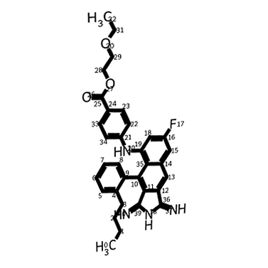 CCCCc1ccccc1-c1c2c(cc3cc(F)cc(Nc4ccc(C(=O)OCCOCC)cc4)c13)C(=N)NC2=N